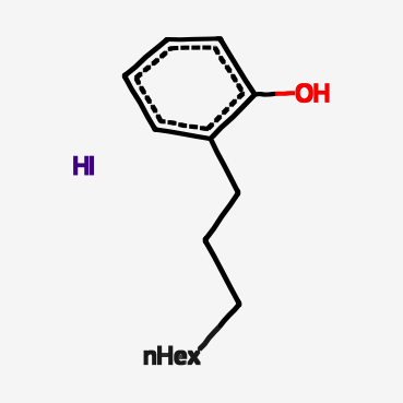 CCCCCCCCCc1ccccc1O.I